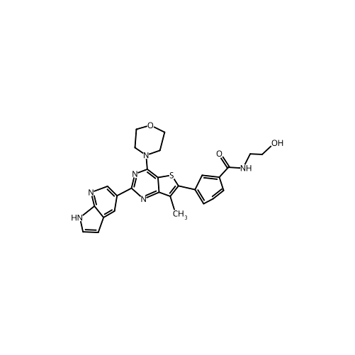 Cc1c(-c2cccc(C(=O)NCCO)c2)sc2c(N3CCOCC3)nc(-c3cnc4[nH]ccc4c3)nc12